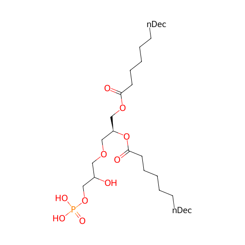 CCCCCCCCCCCCCCCC(=O)OC[C@H](COCC(O)COP(=O)(O)O)OC(=O)CCCCCCCCCCCCCCC